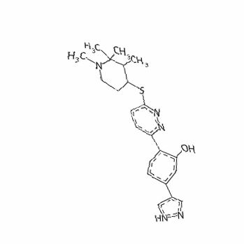 CC1C(Sc2ccc(-c3ccc(-c4cn[nH]c4)cc3O)nn2)CCN(C)C1(C)C